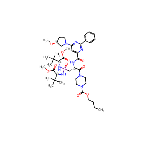 CCCCOC(=O)N1CCN(C(=O)[C@H](CP(=O)(N[C@H](C(=O)OC)C(C)(C)C)N[C@H](C(=O)OC)C(C)(C)C)NC(=O)c2cc(N3CC[C@H](OC)C3)nc(-c3ccccc3)n2)CC1